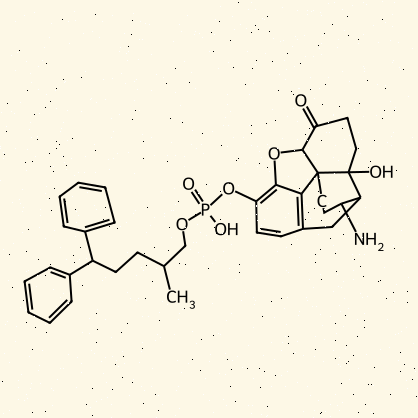 CC(CCC(c1ccccc1)c1ccccc1)COP(=O)(O)Oc1ccc2c3c1OC1C(=O)CCC4(O)C(C2)C(N)CCC314